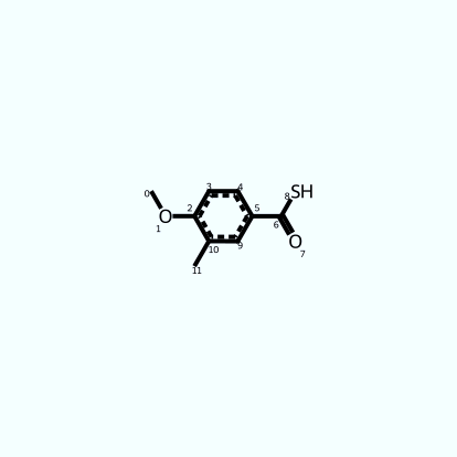 COc1ccc(C(=O)S)cc1C